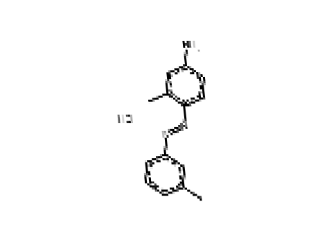 Cc1cccc(N=Nc2ccc(N)cc2C)c1.Cl